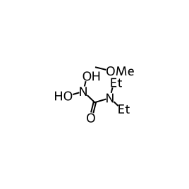 CCN(CC)C(=O)N(O)O.COC